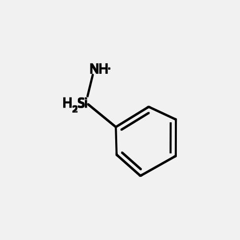 [NH][SiH2]c1ccccc1